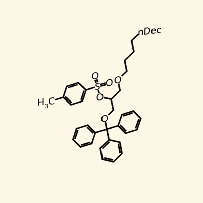 CCCCCCCCCCCCCCOCC(COC(c1ccccc1)(c1ccccc1)c1ccccc1)OS(=O)(=O)c1ccc(C)cc1